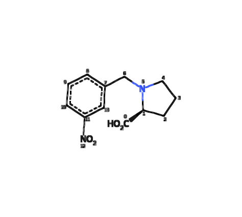 O=C(O)[C@@H]1CCCN1Cc1cccc([N+](=O)[O-])c1